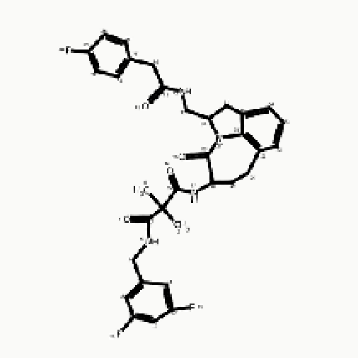 CC(C)(C(=O)NCc1cc(F)cc(F)c1)C(=O)NC1CCc2cccc3c2N(C1=O)C(CNC(=O)Cc1ccc(F)cc1)C3